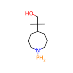 CC(C)(CO)C1CCCN(P)CCC1